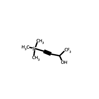 C[Si](C)(C)C#CC(O)C(F)(F)F